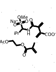 C=C(C(=C)C(=O)NC(C(C)C)S(=O)(=O)OC)C(=O)[O-].C=C(C)C(=O)OCCOC(C)=O.[Na+]